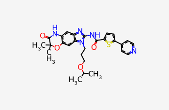 CC(C)OCCCn1c(NC(=O)c2ccc(-c3ccncc3)s2)nc2cc3c(cc21)OC(C)(C)C(=O)N3